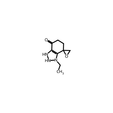 CCN1NNC2=C1C1(CCC2=O)CO1